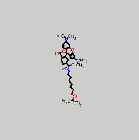 CC(C)OCCCCCCCCNC(=O)c1ccc2c(c1)C1(OC2=O)c2ccc(N(C)C)cc2Oc2cc(N(C)C)ccc21